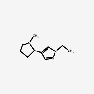 CCn1cc([C@H]2CCCN2C)cn1